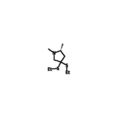 CCSC1(SCC)C[C@@H](C)N(C)C1